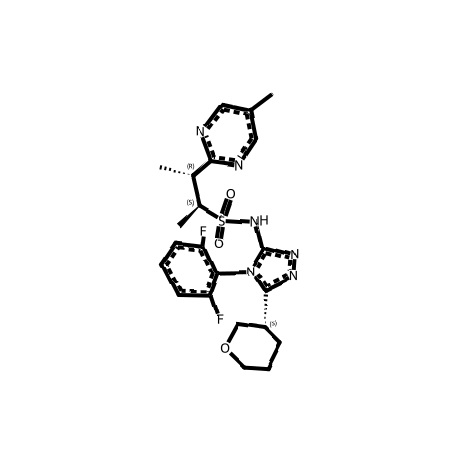 Cc1cnc([C@@H](C)[C@H](C)S(=O)(=O)Nc2nnc([C@@H]3CCCOC3)n2-c2c(F)cccc2F)nc1